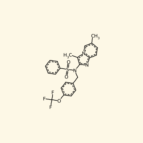 Cc1ccc2nc(N(Cc3ccc(OC(F)(F)F)cc3)S(=O)(=O)c3ccccc3)c(C)n2c1